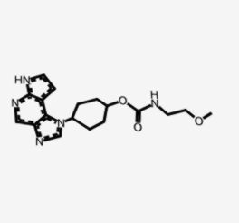 COCCNC(=O)OC1CCC(n2cnc3cnc4[nH]ccc4c32)CC1